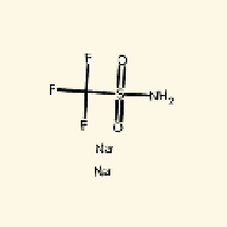 NS(=O)(=O)C(F)(F)F.[Na].[Na]